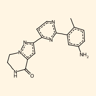 Cc1ccc(N)cc1-c1nccc(-c2cc3n(n2)CCNC3=O)n1